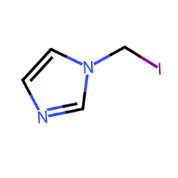 ICn1ccnc1